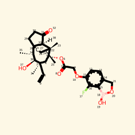 C=C[C@]1(C)C[C@@H](OC(=O)COc2ccc3c(c2F)B(O)OC3)[C@]2(C)[C@H](C)CC[C@]3(CCC(=O)[C@H]32)[C@@H](C)[C@@H]1O